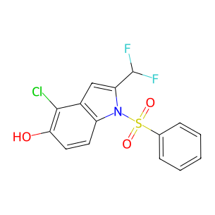 O=S(=O)(c1ccccc1)n1c(C(F)F)cc2c(Cl)c(O)ccc21